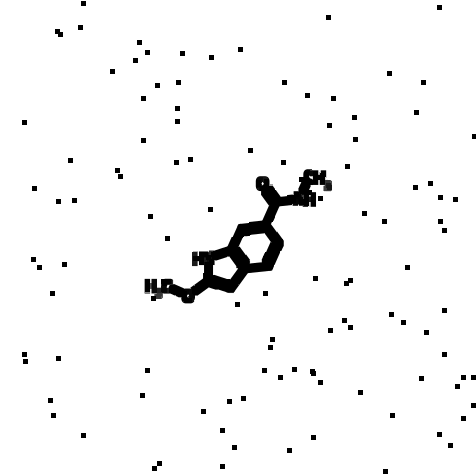 CNC(=O)c1ccc2cc(OC)[nH]c2c1